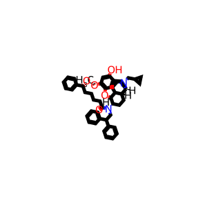 COc1cc(O)c2c3c1O[C@H]1[C@@H](N(CC(c4ccccc4)c4ccccc4)C(=O)CCCCC(=O)c4ccccc4)CC[C@H]4[C@@H](C2)N(CC2CC2)CC[C@@]341